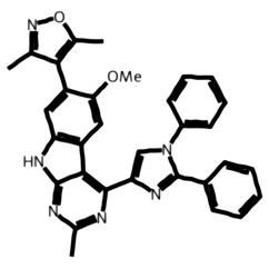 COc1cc2c(cc1-c1c(C)noc1C)[nH]c1nc(C)nc(-c3cn(-c4ccccc4)c(-c4ccccc4)n3)c12